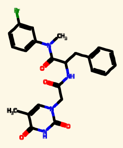 Cc1cn(CC(=O)NC(Cc2ccccc2)C(=O)N(C)c2cccc(Br)c2)c(=O)[nH]c1=O